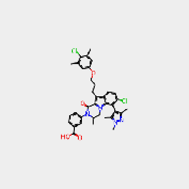 Cc1cc(OCCCc2c3n(c4c(-c5c(C)nn(C)c5C)c(Cl)ccc24)CC(C)N(c2cccc(C(=O)O)c2)C3=O)cc(C)c1Cl